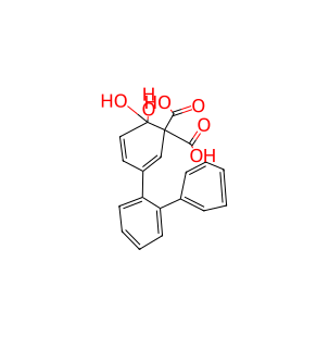 O=C(O)C1(C(=O)O)C=C(c2ccccc2-c2ccccc2)C=CC1(O)O